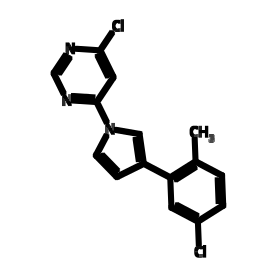 Cc1ccc(Cl)cc1-c1ccn(-c2cc(Cl)ncn2)c1